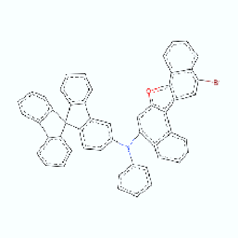 Brc1cc2c(oc3cc(N(c4ccccc4)c4ccc5c(c4)-c4ccccc4C54c5ccccc5-c5ccccc54)c4ccccc4c32)c2ccccc12